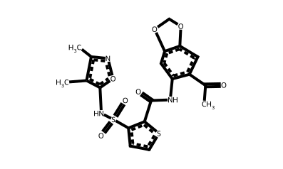 CC(=O)c1cc2c(cc1NC(=O)c1sccc1S(=O)(=O)Nc1onc(C)c1C)OCO2